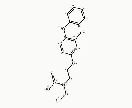 CCN(CCOc1ccc(Oc2ccccc2)c(F)c1)C(=O)O